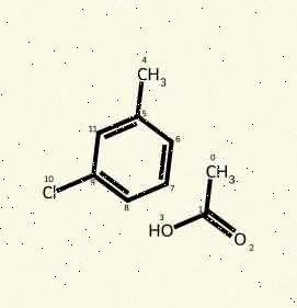 CC(=O)O.Cc1cccc(Cl)c1